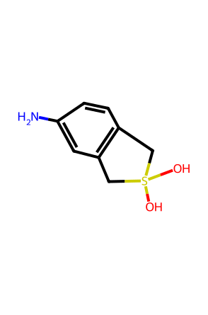 Nc1ccc2c(c1)CS(O)(O)C2